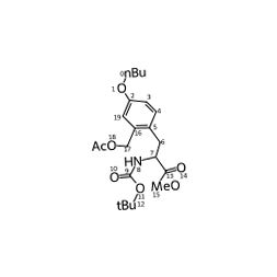 CCCCOc1ccc(CC(NC(=O)OC(C)(C)C)C(=O)OC)c(COC(C)=O)c1